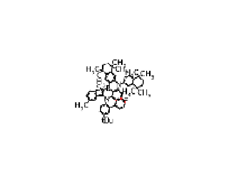 Cc1ccc2sc3c(c2c1)N(c1ccc(C(C)(C)C)cc1-c1ccccc1)c1cc(F)cc2c1B3c1cc3c(cc1N2c1ccc2c(c1)C(C)(C)CCC2(C)C)C(C)(C)CCC3(C)C